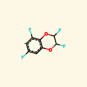 Fc1[c]c(F)c2c(c1)OC(F)C(F)O2